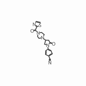 N#Cc1ccc(N2CC(N3CCN(C(=O)c4nccs4)CC3)CC2=O)cc1